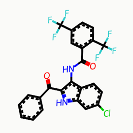 O=C(Nc1c(C(=O)c2ccccc2)[nH]c2cc(Cl)ccc12)c1cc(C(F)(F)F)ccc1C(F)(F)F